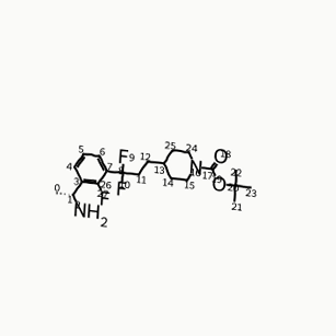 C[C@@H](N)c1cccc(C(F)(F)CCC2CCN(C(=O)OC(C)(C)C)CC2)c1F